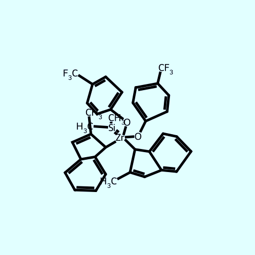 CC1=Cc2ccccc2[CH]1[Zr]([O]c1ccc(C(F)(F)F)cc1)([O]c1ccc(C(F)(F)F)cc1)([CH]1C(C)=Cc2ccccc21)=[Si](C)C